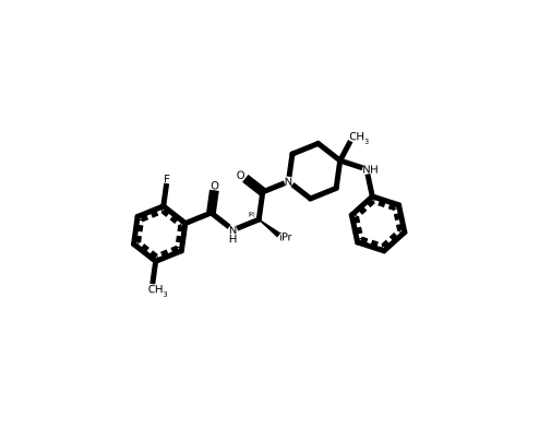 Cc1ccc(F)c(C(=O)N[C@@H](C(=O)N2CCC(C)(Nc3ccccc3)CC2)C(C)C)c1